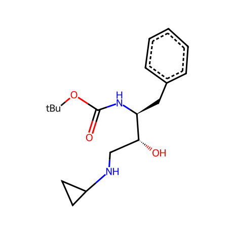 CC(C)(C)OC(=O)N[C@@H](Cc1ccccc1)[C@H](O)CNC1CC1